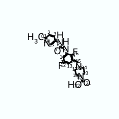 Cc1ccc(NC(=O)Nc2cc(F)cc(CN3CCN(C(=O)O)CC3)c2F)cn1